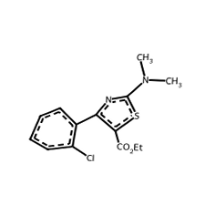 CCOC(=O)c1sc(N(C)C)nc1-c1ccccc1Cl